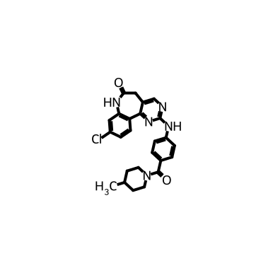 CC1CCN(C(=O)c2ccc(Nc3ncc4c(n3)-c3ccc(Cl)cc3NC(=O)C4)cc2)CC1